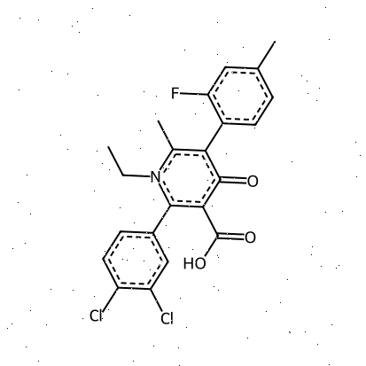 CCn1c(C)c(-c2ccc(C)cc2F)c(=O)c(C(=O)O)c1-c1ccc(Cl)c(Cl)c1